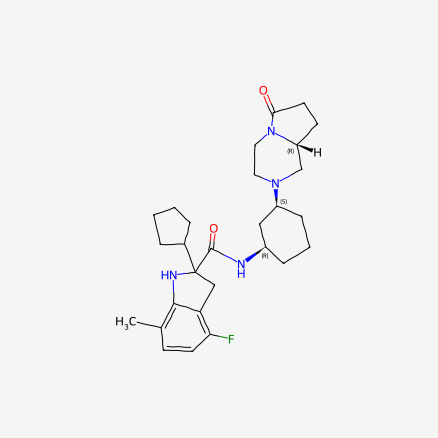 Cc1ccc(F)c2c1NC(C(=O)N[C@@H]1CCC[C@H](N3CCN4C(=O)CC[C@@H]4C3)C1)(C1CCCC1)C2